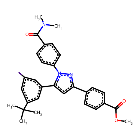 COC(=O)c1ccc(-c2cc(-c3cc(I)cc(C(C)(C)C)c3)n(-c3ccc(C(=O)N(C)C)cc3)n2)cc1